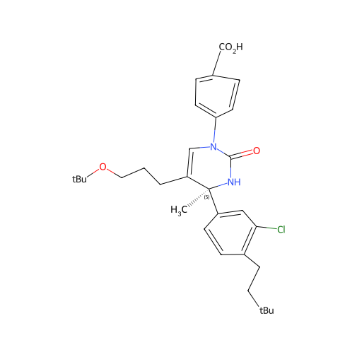 CC(C)(C)CCc1ccc([C@]2(C)NC(=O)N(c3ccc(C(=O)O)cc3)C=C2CCCOC(C)(C)C)cc1Cl